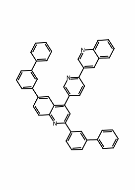 c1ccc(-c2cccc(-c3ccc4nc(-c5cccc(-c6ccccc6)c5)cc(-c5ccc(-c6cnc7ccccc7c6)nc5)c4c3)c2)cc1